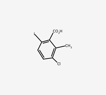 Cc1c(Cl)ccc(I)c1C(=O)O